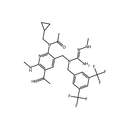 CN/N=C(\N)N(Cc1cc(C(F)(F)F)cc(C(F)(F)F)c1)Cc1cc(C(C)=N)c(NC)nc1N(CC1CC1)C(C)=O